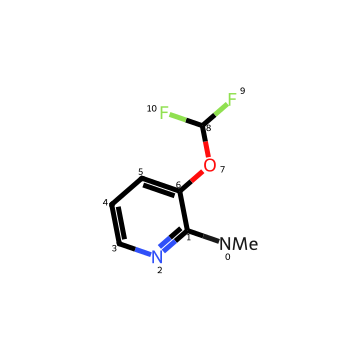 CNc1ncccc1OC(F)F